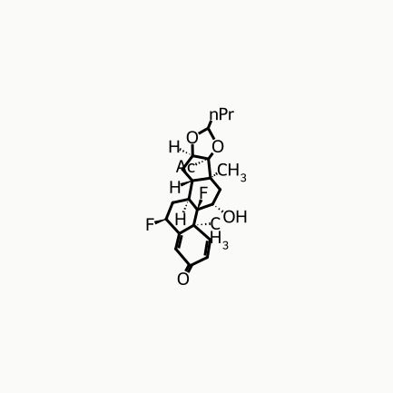 [CH2]C(=O)[C@@]12OC(CCC)O[C@@H]1C[C@H]1[C@@H]3C[C@H](F)C4=CC(=O)C=C[C@]4(C)[C@@]3(F)[C@@H](O)C[C@@]12C